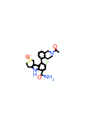 CC(=O)N1CCc2c(cccc2-c2c(F)cc(C(N)=O)c3[nH]c4c(c23)C[S+]([O-])CC4)C1